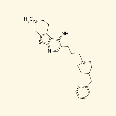 CN1CCc2c(sc3ncn(CCCN4CCC(Cc5ccccc5)CC4)c(=N)c23)C1